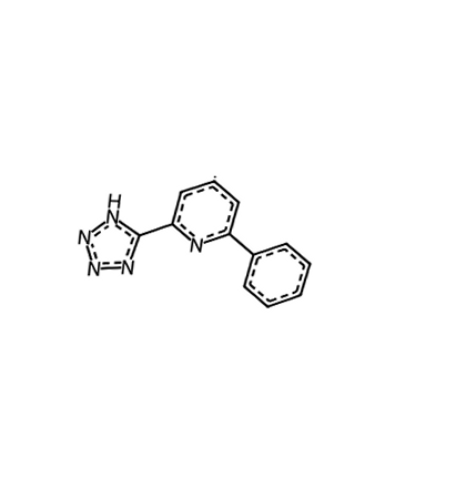 [c]1cc(-c2ccccc2)nc(-c2nnn[nH]2)c1